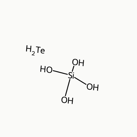 O[Si](O)(O)O.[TeH2]